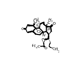 CCC[C@H](OC(C)=O)[C@@H]1CC(=O)[C@@]2(C)CC[C@H]3[C@@H](CCC4=CC(=O)C=C(C)[C@@]43C)[C@H]12